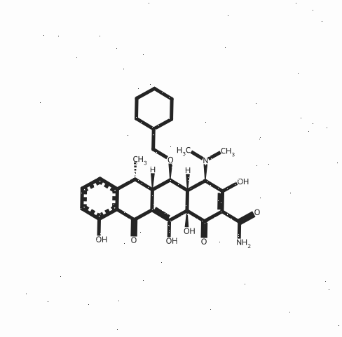 C[C@H]1c2cccc(O)c2C(=O)C2=C(O)[C@@]3(O)C(=O)C(C(N)=O)=C(O)[C@H](N(C)C)[C@H]3[C@H](OCC3CCCCC3)[C@H]21